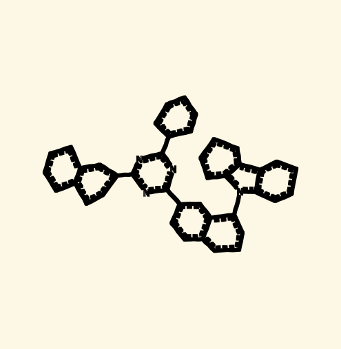 c1ccc(-c2nc(-c3ccc4ccccc4c3)nc(-c3ccc4cccc(-n5c6ccccc6c6ccccc65)c4c3)n2)cc1